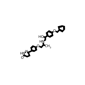 CC(COc1ccc(C2=NNC(=O)CC2)cc1)NCC(O)c1ccc(OCc2ccccc2)cc1